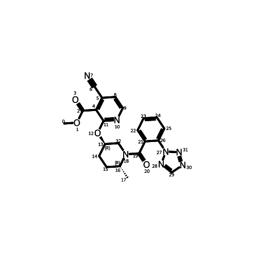 COC(=O)c1c(C#N)ccnc1O[C@@H]1CC[C@@H](C)N(C(=O)c2ccccc2-n2ncnn2)C1